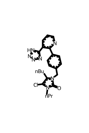 CCCCc1c(Cl)n(CCC)c(=O)n1Cc1ccc(-c2ncccc2-c2nnn[nH]2)cc1